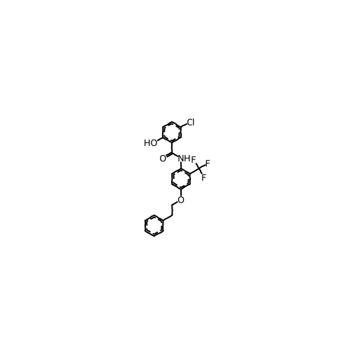 O=C(Nc1ccc(OCCc2ccccc2)cc1C(F)(F)F)c1cc(Cl)ccc1O